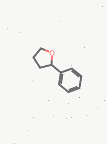 c1ccc(C2CCCO2)cc1